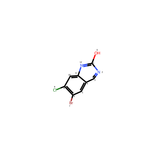 Oc1ncc2cc(Br)c(Cl)cc2n1